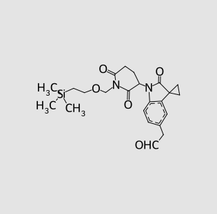 C[Si](C)(C)CCOCN1C(=O)CCC(N2C(=O)C3(CC3)c3cc(CC=O)ccc32)C1=O